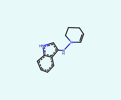 C1=CN(Nc2c[nH]c3ccccc23)CCC1